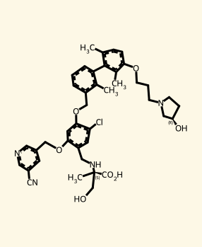 Cc1ccc(OCCCN2CC[C@@H](O)C2)c(C)c1-c1cccc(COc2cc(OCc3cncc(C#N)c3)c(CN[C@@](C)(CO)C(=O)O)cc2Cl)c1C